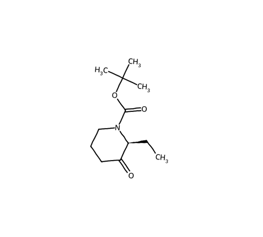 CC[C@H]1C(=O)CCCN1C(=O)OC(C)(C)C